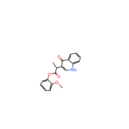 COc1ccccc1OC(=O)C(C)c1c[nH]c2ccccc2c1=O